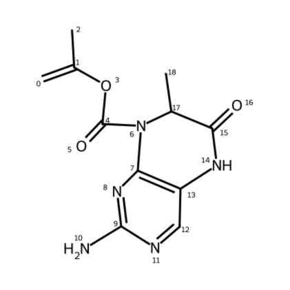 C=C(C)OC(=O)N1c2nc(N)ncc2NC(=O)C1C